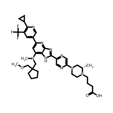 COCC1(CN(C)c2cc(-c3cnc(C4CC4)c(C(F)(F)F)c3)nc3nc(-c4cnc(N5CCN(CCCC(=O)O)[C@@H](C)C5)cn4)[nH]c23)CCCC1